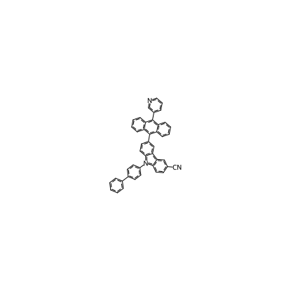 N#Cc1ccc2c(c1)c1cc(-c3c4ccccc4c(-c4cccnc4)c4ccccc34)ccc1n2-c1ccc(-c2ccccc2)cc1